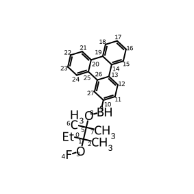 CCC(C)(OF)C(C)(C)OBc1ccc2c3ccccc3c3ccccc3c2c1